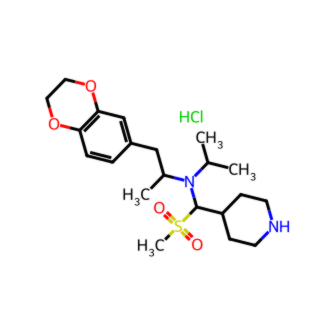 CC(C)N(C(C)Cc1ccc2c(c1)OCCO2)C(C1CCNCC1)S(C)(=O)=O.Cl